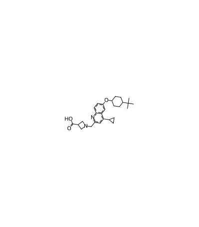 CC(C)(C)C1CCC(Oc2ccc3nc(CN4CC(C(=O)O)C4)cc(C4CC4)c3c2)CC1